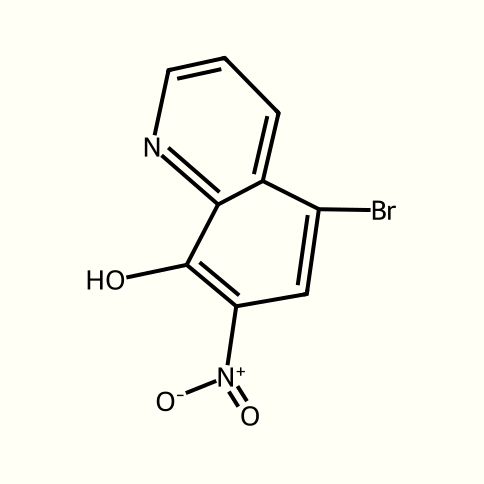 O=[N+]([O-])c1cc(Br)c2cccnc2c1O